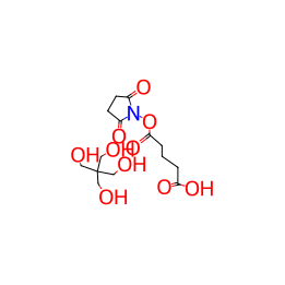 O=C(O)CCCC(=O)ON1C(=O)CCC1=O.OCC(CO)(CO)CO